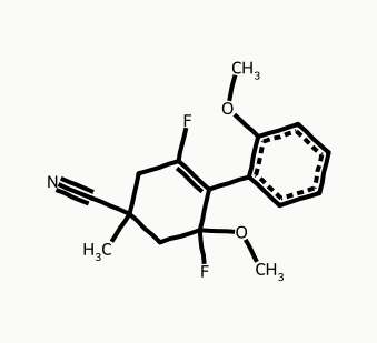 COc1ccccc1C1=C(F)CC(C)(C#N)CC1(F)OC